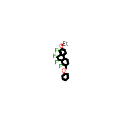 CCOc1ccc2c(c1F)C(F)C(F)c1c-2ccc(COc2ccccc2)c1F